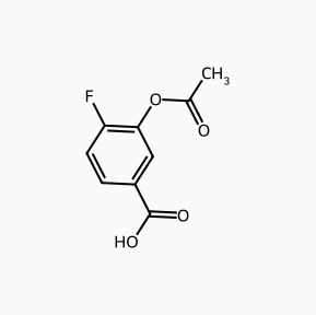 CC(=O)Oc1cc(C(=O)O)ccc1F